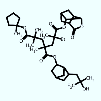 CCC(C)(CC(C)(CC(C)(C)C(=O)OC1(C)CCCC1)C(=O)OC1CC2CC(CC(C)(O)C(F)(F)F)C1C2)C(=O)OC1C2CC3C(=O)OC1C3C2